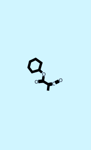 CC(=C=O)C(=O)OC1CCCCC1